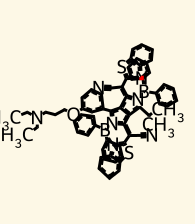 CCN(CC)CCCOc1cccc(-c2c3/c(=C(\C#N)c4nc5ccccc5s4)n(B(c4ccccc4)c4ccccc4)c(C(C)C)c3/c(=C(\C#N)c3nc4ccccc4s3)n2B(c2ccccc2)c2ccccc2)c1